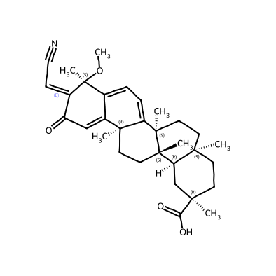 CO[C@@]1(C)C2=CC=C3[C@@](C)(CC[C@@]4(C)[C@@H]5C[C@](C)(C(=O)O)CC[C@]5(C)CC[C@]34C)C2=CC(=O)/C1=C/C#N